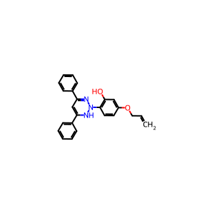 C=CCOc1ccc(N2N=C(c3ccccc3)C=C(c3ccccc3)N2)c(O)c1